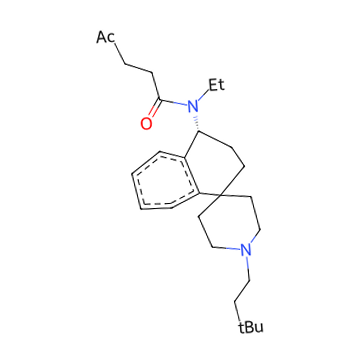 CCN(C(=O)CCC(C)=O)[C@@H]1CCC2(CCN(CCC(C)(C)C)CC2)c2ccccc21